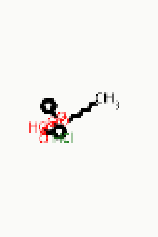 CCCCCCCCOc1cccc(C(=O)O)c1OC(=O)c1ccccc1.Cl